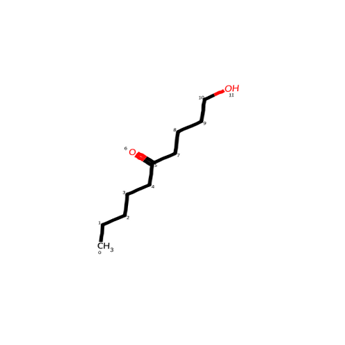 CCCCCC(=O)CCCCO